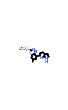 CCOC(=O)c1nnc2c(-c3ccc4cc[nH]c4n3)cc(C)cc2n1